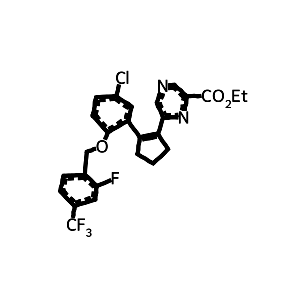 CCOC(=O)c1cncc(C2=C(c3cc(Cl)ccc3OCc3ccc(C(F)(F)F)cc3F)CCC2)n1